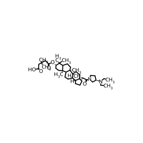 CCN(CC)[C@@H]1CCN(C(=O)C[C@]23CCC[C@@H]2[C@H]2CCC4[C@@]5(C)CC[C@H](OC(=O)CC(C)(C)CC(=O)O)C(C)(C)C5CC[C@@]4(C)[C@]2(C)CC3)C1